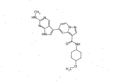 CNc1ncc2c(-c3ccn4ncc(C(=O)NC5CCC(OC)CC5)c4c3)c[nH]c2n1